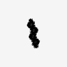 c1cnc2c(-c3ccc4ccc5ccc(-c6c7nccnc7c(-c7ccc8ccc9ccc(-c%10c%11nccnc%11c(-c%11ccc%12ccc%13ccc(-c%14c%15nccnc%15c(-c%15ccc%16ccc%17ccc(-c%18c%19nccnc%19cc%19nccnc%18%19)nc%17c%16n%15)c%15nccnc%14%15)nc%13c%12n%11)c%11nccnc%10%11)nc9c8n7)c7nccnc67)nc5c4n3)c3nccnc3cc2n1